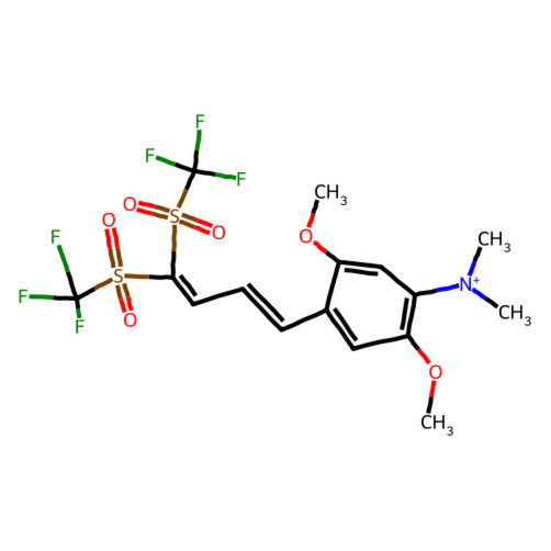 COc1cc([N+](C)C)c(OC)cc1C=CC=C(S(=O)(=O)C(F)(F)F)S(=O)(=O)C(F)(F)F